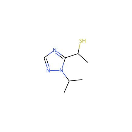 CC(S)c1ncnn1C(C)C